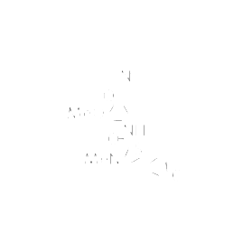 CNc1cc(-c2ccc(Cl)cc2)sc1C(=O)Nc1ccc(OC2CCN(C)C2)c(OC)c1